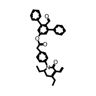 C=CC1=C(CC)CC(CC)N(c2ccc(CC(=O)Oc3cc(-c4ccccc4)c(C=O)c(-c4ccccc4)c3)cc2)C1=O